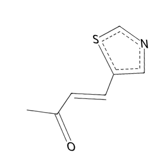 CC(=O)C=Cc1cncs1